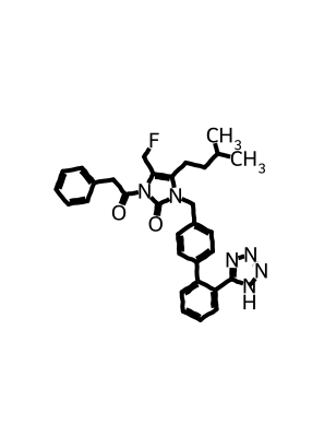 CC(C)CCc1c(CF)n(C(=O)Cc2ccccc2)c(=O)n1Cc1ccc(-c2ccccc2-c2nnn[nH]2)cc1